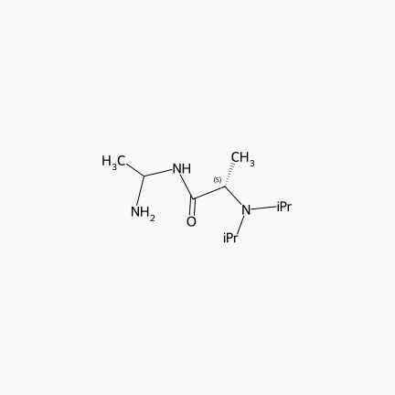 CC(N)NC(=O)[C@H](C)N(C(C)C)C(C)C